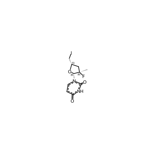 C[C@@]1(F)C[C@@H](CI)O[C@H]1n1ccc(=O)[nH]c1=O